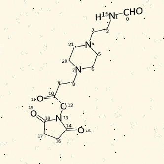 O=[13CH][15NH]CCN1CCN(CCC(=O)ON2C(=O)CCC2=O)CC1